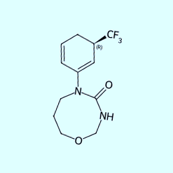 O=C1NCOCCCN1C1=C[C@H](C(F)(F)F)CC=C1